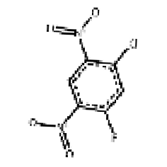 O=[N+]([O-])c1cc([N+](=O)[O-])c(Cl)cc1F